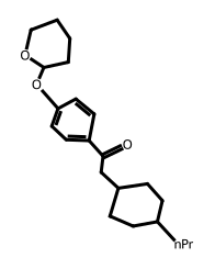 CCCC1CCC(CC(=O)c2ccc(OC3CCCCO3)cc2)CC1